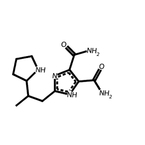 CC(Cc1nc(C(N)=O)c(C(N)=O)[nH]1)C1CCCN1